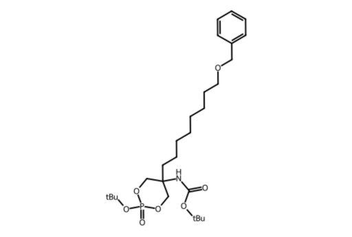 CC(C)(C)OC(=O)NC1(CCCCCCCCOCc2ccccc2)COP(=O)(OC(C)(C)C)OC1